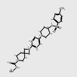 Cc1ccc(S(=O)(=O)OC2CCN(c3cnc(N4CC5(CCN(C(=O)OC(C)(C)C)CC5)C4)nc3)CC2)cc1